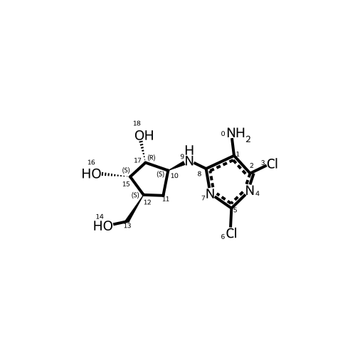 Nc1c(Cl)nc(Cl)nc1N[C@H]1C[C@@H](CO)[C@H](O)[C@@H]1O